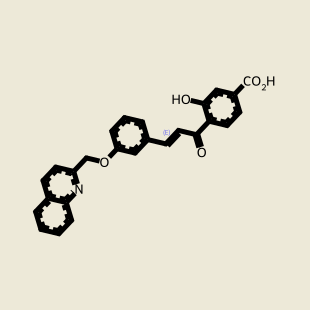 O=C(O)c1ccc(C(=O)/C=C/c2cccc(OCc3ccc4ccccc4n3)c2)c(O)c1